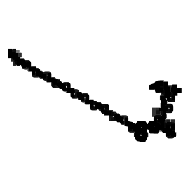 COC(=O)C[C@H](NC(=O)CNC(=O)CCCN(C(=O)OC(C)(C)C)c1cc(C)ccn1)c1ccc(-c2ccc(OCCOCCOCCOCCOCCOCCOCCOCCOCCOCCOCCOCCN=[N+]=[N-])c3ccccc23)cc1